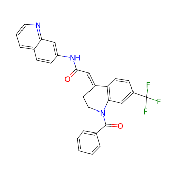 O=C(C=C1CCN(C(=O)c2ccccc2)c2cc(C(F)(F)F)ccc21)Nc1ccc2cccnc2c1